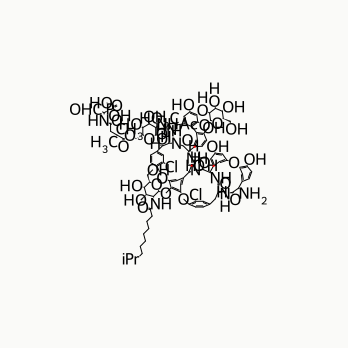 CC(=O)N[C@H]1[C@H](O[C@@H]2c3ccc(c(Cl)c3)Oc3cc4cc(c3O[C@@H]3O[C@H](CO)[C@@H](O)[C@H](O)[C@H]3NC(=O)CCCCCCCC(C)C)Oc3ccc(cc3Cl)C[C@H]3NC(=O)[C@H](N)c5ccc(O)c(c5)Oc5cc(O)cc(c5)[C@H](NC3=O)C(=O)N[C@H]4C(=O)N[C@H]3C(=O)N[C@@H]2C(=O)N[C@@H](C(=O)O)c2cc(O)cc(O[C@H]4O[C@H](CO)[C@@H](O)[C@H](O)[C@@H]4O)c2-c2cc3ccc2O)O[C@H](COC(=O)C(C)(C)CC(=O)NC(C=O)P(=O)(O)O)[C@@H](O)[C@@H]1O